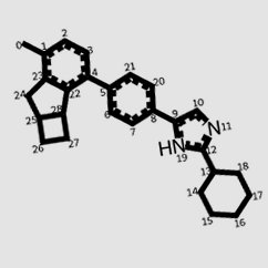 Cc1ccc(-c2ccc(-c3cnc(C4CCCCC4)[nH]3)cc2)c2c1CC1CCC21